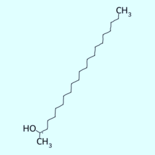 CCCCCCCCCCCCCCCCCCCC[C](C)O